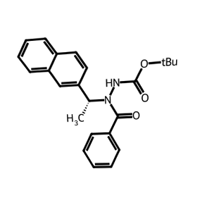 C[C@H](c1ccc2ccccc2c1)N(NC(=O)OC(C)(C)C)C(=O)c1ccccc1